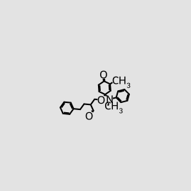 CC1=CC(OCC(C=O)CCc2ccccc2)(N(C)c2ccccc2)C=CC1=O